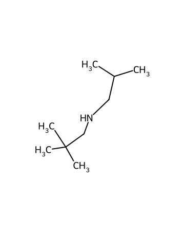 CC(C)CNCC(C)(C)C